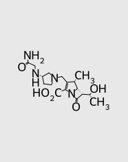 C[C@H]1C(CN2CC[C@H](NCC(N)=O)C2)=C(C(=O)O)N2C(=O)[C@@H]([C@@H](C)O)C12